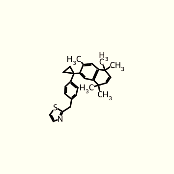 Cc1cc2c(cc1C1(c3ccc(Cc4nccs4)cc3)CC1)C(C)(C)C=CC2(C)C